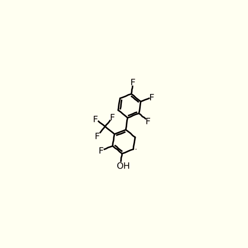 OC1=C(F)C(C(F)(F)F)=C(c2ccc(F)c(F)c2F)C[CH]1